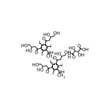 CNc1c(I)c(C(=O)CC(O)CO)c(I)c(C(=O)CC(O)CO)c1I.CNc1c(I)c(C(=O)CC(O)CO)c(I)c(C(=O)CC(O)CO)c1I.O=C(O)C(O)C(O)C(=O)O